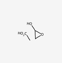 CC(=O)O.OC1CO1